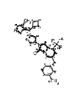 C[C@H]1CCCN(Cc2cc(C(F)(F)F)c3cn(-c4csc([C@H](c5nncn5C)C5CCC5)c4)c(=O)n3c2)C1